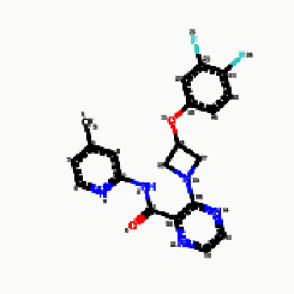 O=C(Nc1cc(C(F)(F)F)ccn1)c1nccnc1N1CC(Oc2ccc(F)c(F)c2)C1